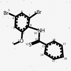 COc1cc(Br)cc(Br)c1NC(=S)c1ccccc1